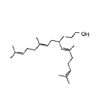 CC(C)=CCC/C(C)=C/CC(/C=C(\C)CCC=C(C)C)CCCO